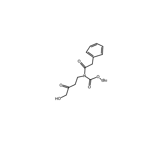 CC(C)(C)OC(=O)N(CCC(=O)CO)C(=O)Cc1ccccc1